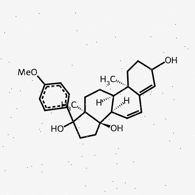 COc1ccc(C2(O)CC[C@@]3(O)[C@@H]4C=CC5=CC(O)CC[C@]5(C)[C@@H]4CC[C@]23C)cc1